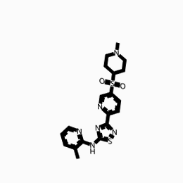 Cc1cccnc1Nc1nc(-c2ccc(S(=O)(=O)C3CCN(C)CC3)cn2)ns1